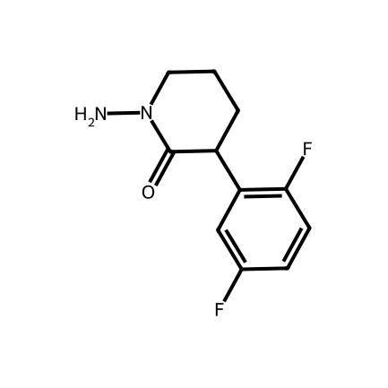 NN1CCCC(c2cc(F)ccc2F)C1=O